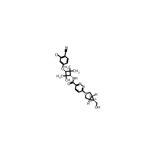 CC1(C)[C@H](NC(=O)c2ccc(N3C[C@@H]4[C@@H](CO)[C@@H]4C3)nn2)C(C)(C)[C@H]1Oc1ccc(C#N)c(Cl)c1